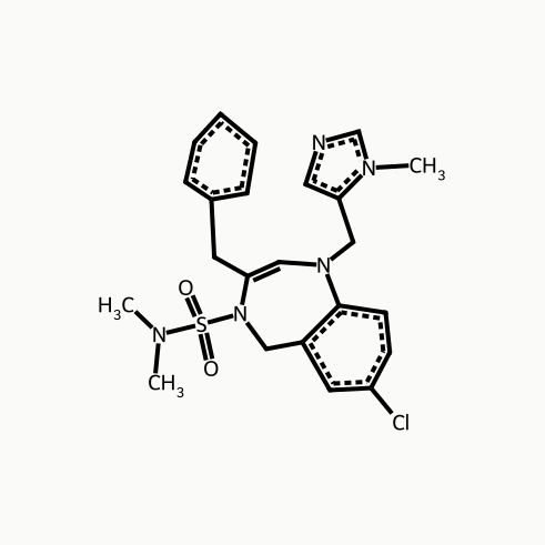 CN(C)S(=O)(=O)N1Cc2cc(Cl)ccc2N(Cc2cncn2C)C=C1Cc1ccccc1